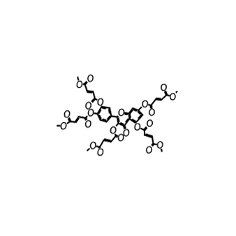 COC(=O)/C=C/C(=O)Oc1cc(OC(=O)/C=C/C(=O)OC)c2c(=O)c(OC(=O)/C=C/C(=O)OC)c(-c3ccc(OC(=O)/C=C/C(=O)OC)c(OC(=O)/C=C/C(=O)OC)c3)oc2c1